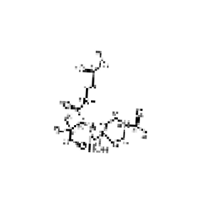 COC(=O)CCNC(=O)[C@@H]1O[PH](O)(N2CCN(C(C)=O)CC2)OCC1(C)C